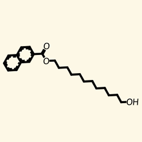 O=C(OCCCCCCCCCCCCO)c1ccc2ccccc2c1